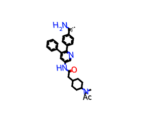 CC(=O)N(C)C1CCC(CC(=O)Nc2cnc(-c3ccc([C@@H](C)N)cc3)c(-c3ccccc3)c2)CC1